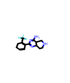 NC1=NC(C2=C(C(F)(F)F)CCC=C2)=NC2CCNCC12